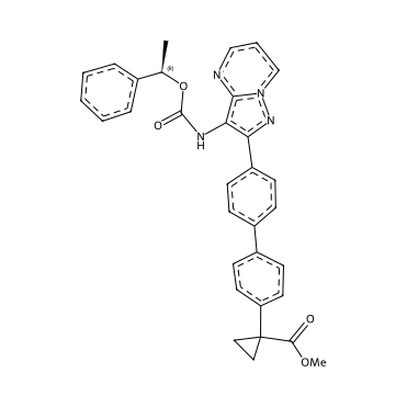 COC(=O)C1(c2ccc(-c3ccc(-c4nn5cccnc5c4NC(=O)O[C@H](C)c4ccccc4)cc3)cc2)CC1